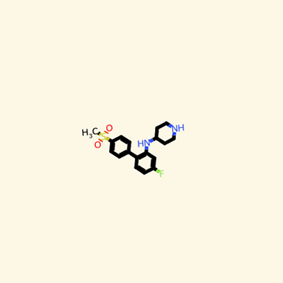 CS(=O)(=O)c1ccc(-c2ccc(F)cc2NC2CCNCC2)cc1